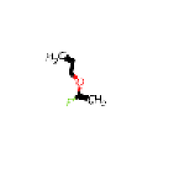 C=CCOC(=C)F